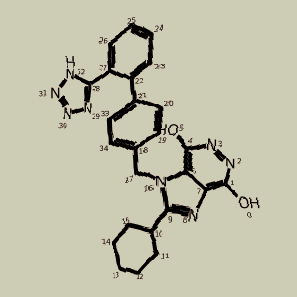 Oc1nnc(O)c2c1nc(C1CCCCC1)n2Cc1ccc(-c2ccccc2-c2nnn[nH]2)cc1